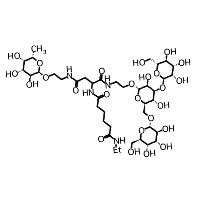 CCNC(=O)CCCCC(=O)NC(CC(=O)NCCO[C@@H]1O[C@@H](C)[C@@H](O)[C@@H](O)[C@@H]1O)C(=O)NCCO[C@H]1O[C@H](CO[C@H]2O[C@H](CO)[C@@H](O)[C@@H](O)[C@@H]2O)[C@@H](O)[C@H](O[C@H]2O[C@H](CO)[C@@H](O)[C@H](O)[C@@H]2O)[C@@H]1O